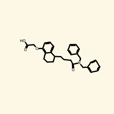 O=C(O)COc1cccc2c1CCCC2CCCC(=O)N(Cc1ccccc1)Cc1ccccc1